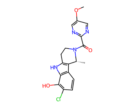 COc1cnc(C(=O)N2CCc3[nH]c4c(O)c(Cl)ccc4c3[C@H]2C)nc1